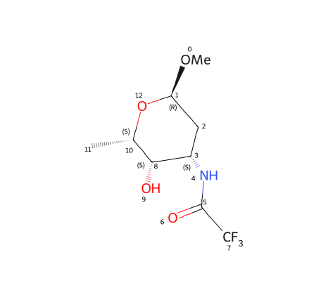 CO[C@H]1C[C@H](NC(=O)C(F)(F)F)[C@H](O)[C@H](C)O1